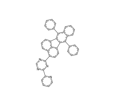 c1ccc(-c2c3c(c(-c4ccccc4)c4ccccc24)-c2ccc(-c4ncnc(-c5ccccn5)n4)c4cccc-3c24)cc1